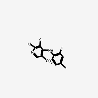 O=C(O)c1cnc(Cl)c(Cl)c1Nc1ccc(I)cc1F